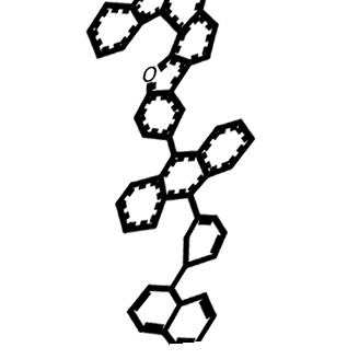 C1=CC2=CC=CC(C3C=CC=C(c4c5ccccc5c(-c5ccc6oc7c(ccc8ccc9sc%10ccccc%10c9c87)c6c5)c5ccccc45)C3)C2C=C1